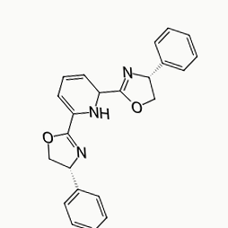 C1=CC(C2=N[C@H](c3ccccc3)CO2)NC(C2=N[C@H](c3ccccc3)CO2)=C1